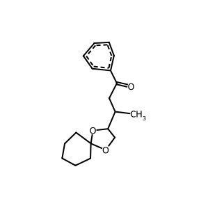 CC(CC(=O)c1ccccc1)C1COC2(CCCCC2)O1